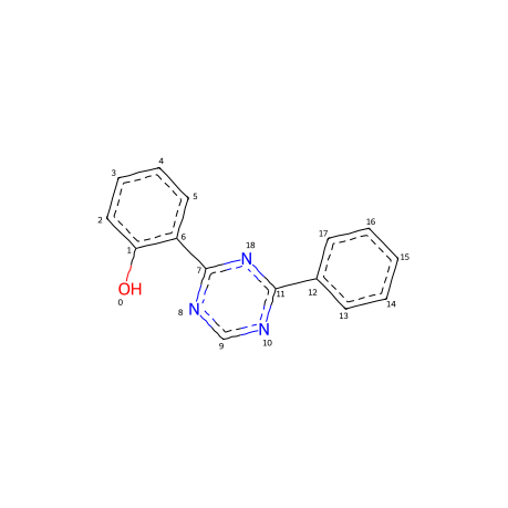 Oc1ccccc1-c1ncnc(-c2ccccc2)n1